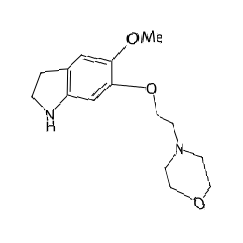 COc1cc2c(cc1OCCN1CCOCC1)NCC2